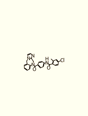 Cc1cc(Cl)ccc1C(=O)Nc1ccc(C(=O)N2Cc3nccn3Cc3ccccc32)cc1